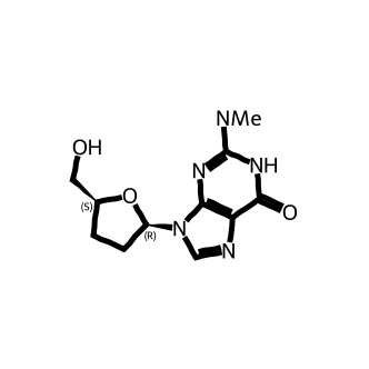 CNc1nc2c(ncn2[C@H]2CC[C@@H](CO)O2)c(=O)[nH]1